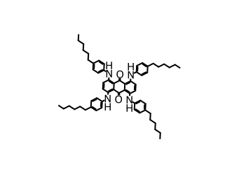 CCCCCCc1ccc(Nc2ccc(Nc3ccc(CCCCCC)cc3)c3c2C(=O)c2c(Nc4ccc(CCCCCC)cc4)ccc(Nc4ccc(CCCCCC)cc4)c2C3=O)cc1